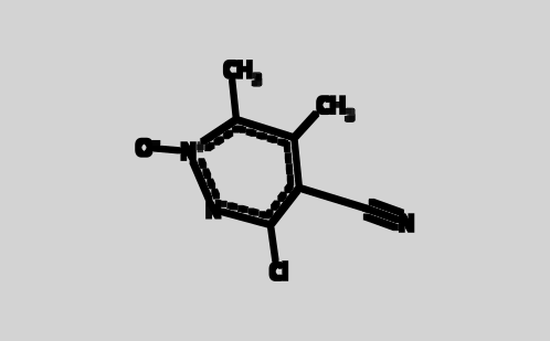 Cc1c(C#N)c(Cl)n[n+]([O-])c1C